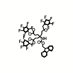 O=C(CCC(CCC(=O)Oc1c(F)c(F)c(F)c(F)c1F)(CCC(=O)Oc1c(F)c(F)c(F)c(F)c1F)NC(=O)OCC1c2ccccc2-c2ccccc21)Cc1c(F)c(F)c(F)c(F)c1F